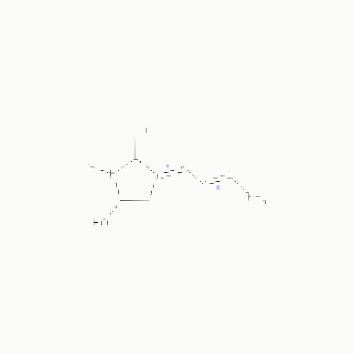 CN1C(O)C/C(=C\C=C\N)C1O